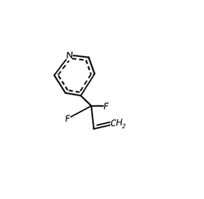 C=CC(F)(F)c1ccncc1